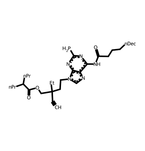 C#CC(CC)(CCn1cnc2c(NC(=O)CCCCCCCCCCCCC)nc(P)nc21)COC(=O)C(CCC)CCC